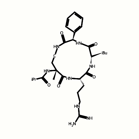 CC[C@H](C)[C@@H]1NC(=O)[C@H](CCCNC(=N)N)NC(=O)[C@](C)(NC(=O)C(C)C)CCNC(=O)[C@@H](c2ccccc2)NC1=O